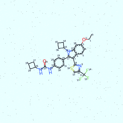 CCOc1ccc2c(-c3nc(C(F)(F)F)cs3)c(-c3ccc(NC(=O)NC4CCC4)cc3)n(C3CCC3)c2c1